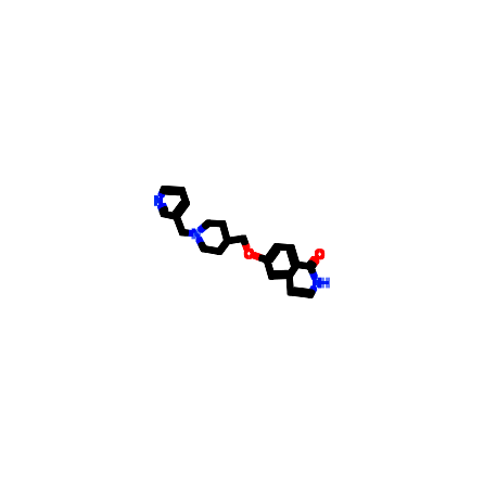 O=c1[nH]ccc2cc(OCC3CCN(Cc4cccnc4)CC3)ccc12